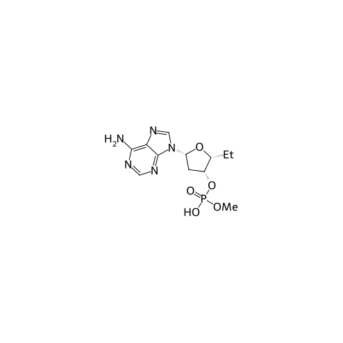 CC[C@H]1O[C@@H](n2cnc3c(N)ncnc32)C[C@H]1OP(=O)(O)OC